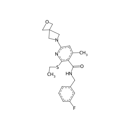 CCSc1nc(N2CC3(COC3)C2)cc(C)c1C(=O)NCc1cccc(F)c1